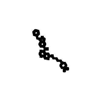 O=S1(=O)CCN(CCCCOc2cc3c(Nc4ccc5c(cnn5Cc5ccccc5)c4)ncnc3cn2)CC1